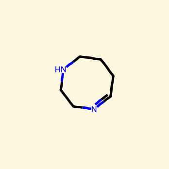 C1=NCCNCCC1